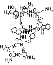 C[C@@H](O)[C@@H]1NC(=O)[C@H](CCCCN)NC(=O)[C@@H](Cc2c[nH]c3ccccc23)NC(=O)[C@H](Cc2ccc(O)cc2)NC(=O)[C@@H](NC(=O)[C@@H](Cc2ccccc2)NC(=O)CN2CCN(CC(N)=O)CCN(CC(N)=O)CCN(CC(N)=O)CC2)CSSC[C@@H](C(=O)N[C@H](CO)[C@@H](C)O)NC1=O